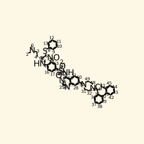 CN(C)CC[C@H](CSc1ccccc1)Nc1ccc(S(=O)(=O)Nc2ncnc3cc(N4CCN(Cc5ccccc5-c5ccccc5Cl)CC4)ccc23)cc1[N+](=O)[O-]